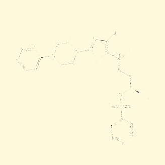 CC(C)c1nc(N2CCN(c3ccncc3)CC2)sc1C(=O)NC[C@H](NS(=O)(=O)c1ccccc1)C(=O)O